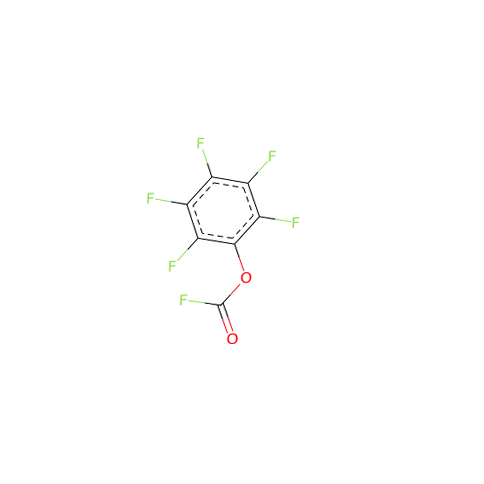 O=C(F)Oc1c(F)c(F)c(F)c(F)c1F